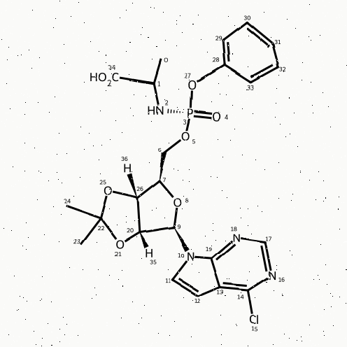 CC(N[P@](=O)(OC[C@H]1O[C@@H](n2ccc3c(Cl)ncnc32)[C@@H]2OC(C)(C)O[C@@H]21)Oc1ccccc1)C(=O)O